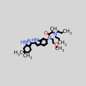 CCCN(CCC)[C@@H](C)C(=O)N(CCOC)c1ccc2cc(-c3n[nH]c4c3CCC(C)(C)C4)[nH]c2c1